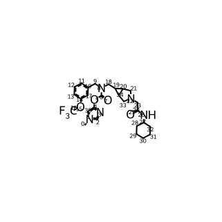 Cn1cnc(OC(=O)N(Cc2cccc(OC(F)(F)F)c2)CC2C3CN(CC(=O)NC4CCCCC4)CC32)c1